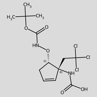 CC(C)(C)OC(=O)NO[C@H]1CC=C[C@@]1(CC(Cl)(Cl)Cl)NC(=O)O